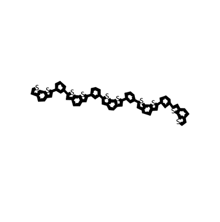 c1cc(-c2cc3ccc4ccsc4c3s2)cc(-c2cc3ccc4cc(-c5cccc(-c6cc7ccc8cc(-c9cccc(-c%10cc%11ccc%12cc(-c%13cccc(-c%14cc%15ccc%16ccsc%16c%15s%14)c%13)sc%12c%11s%10)c9)sc8c7s6)c5)sc4c3s2)c1